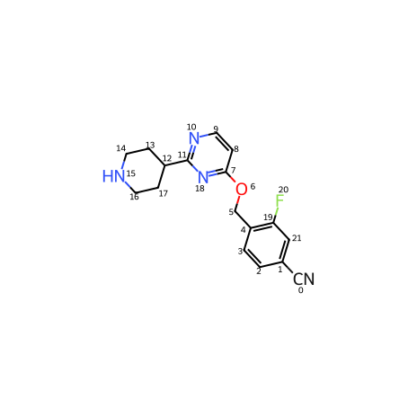 N#Cc1ccc(COc2ccnc(C3CCNCC3)n2)c(F)c1